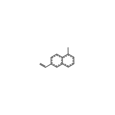 C=Cc1ccc2c(C)cccc2c1